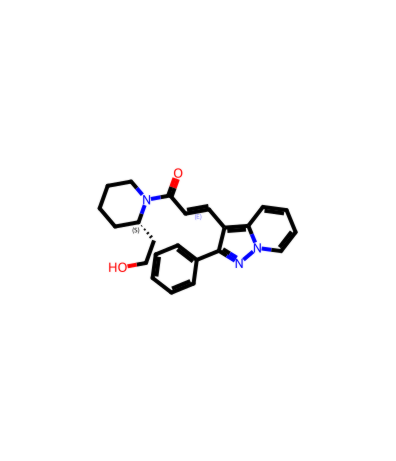 O=C(/C=C/c1c(-c2ccccc2)nn2ccccc12)N1CCCC[C@H]1CCO